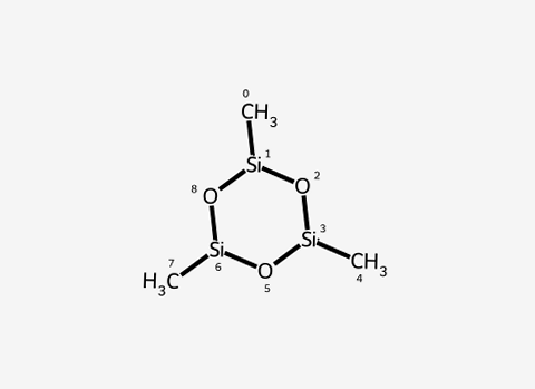 C[Si]1O[Si](C)O[Si](C)O1